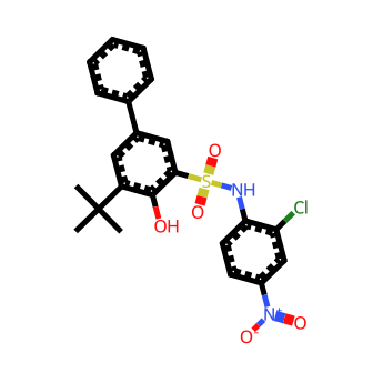 CC(C)(C)c1cc(-c2ccccc2)cc(S(=O)(=O)Nc2ccc([N+](=O)[O-])cc2Cl)c1O